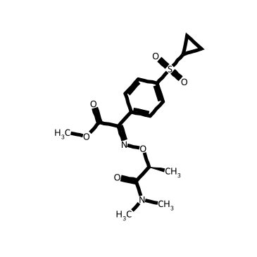 COC(=O)/C(=N/O[C@@H](C)C(=O)N(C)C)c1ccc(S(=O)(=O)C2CC2)cc1